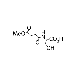 COC(=O)CCC(=O)NC(CO)C(=O)O